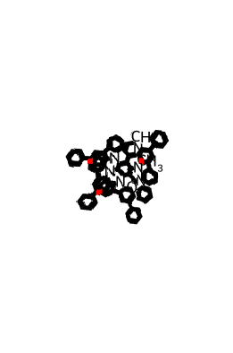 Cc1ccc(-c2c(-n3c4ccccc4c4cc(-c5ccccc5)ccc43)c(-c3nc4ccccc4o3)c(-n3c4ccccc4c4cc(-c5ccccc5)ccc43)c(-n3c4ccccc4c4cc(-c5ccccc5)ccc43)c2-n2c3ccccc3c3cc(-c4ccccc4)ccc32)c(C)n1